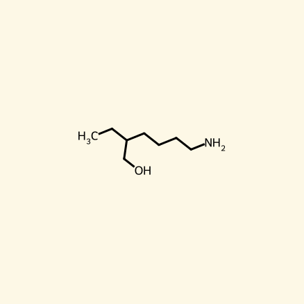 CCC(CO)CCCCN